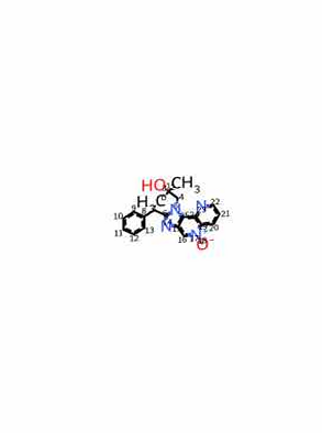 CC(C)(O)Cn1c(Cc2ccccc2)nc2c[n+]([O-])c3cccnc3c21